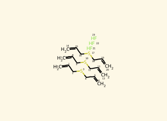 C=CCSCC=C.C=CCSCC=C.C=CCSCC=C.F.F.F